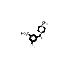 CN1CCN(Cc2cc(C(=O)O)cc(C(F)(F)F)c2)CC1.[Li]